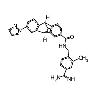 Cc1cc(C(=N)N)ccc1CNC(=O)c1ccc2c(c1)[C@@H]1O[C@H]2c2ccc(-n3cccn3)cc21